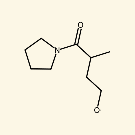 CC(CC[O])C(=O)N1CCCC1